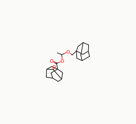 CC(OCC12CC3CC(CC(C3)C1)C2)OC(=O)C12CC3CC(C1)C(=O)C(C3)C2